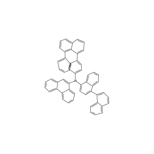 c1ccc(-c2cccc3cccc(-c4ccc(N(c5ccc(-c6cccc7ccccc67)c6ccccc56)c5cc6ccccc6c6ccccc56)cc4)c23)cc1